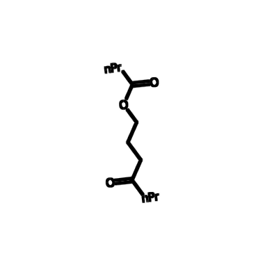 CCCC(=O)CCCOC(=O)CCC